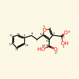 O=C(O)c1coc(CCc2ccccc2)c1C(=O)O